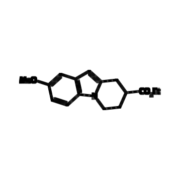 CCOC(=O)C1CCn2c(cc3cc(OC)ccc32)C1